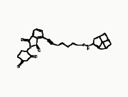 O=C1CCC(N2C(=O)c3cccc(C#CCCCCCCNC45CC6CC7CC(C4)C76C5)c3C2=O)C(=O)C1